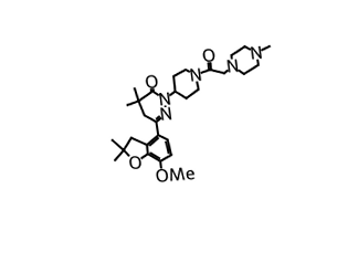 COc1ccc(C2=NN(C3CCN(C(=O)CN4CCN(C)CC4)CC3)C(=O)C(C)(C)C2)c2c1OC(C)(C)C2